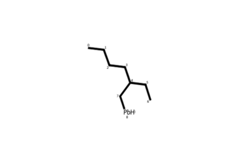 CCCCC(CC)[CH2][PbH]